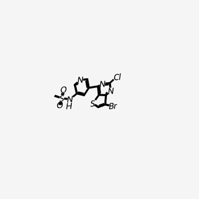 CS(=O)(=O)Nc1cncc(-c2nc(Cl)nc3c(Br)csc23)c1